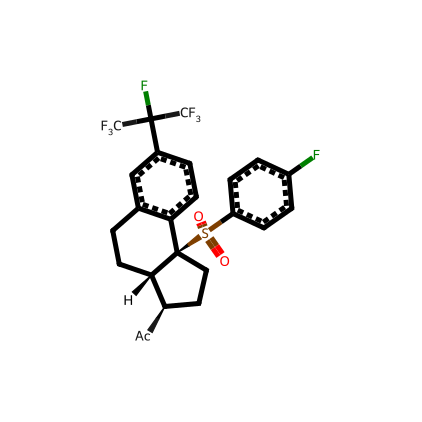 CC(=O)[C@@H]1CC[C@@]2(S(=O)(=O)c3ccc(F)cc3)c3ccc(C(F)(C(F)(F)F)C(F)(F)F)cc3CC[C@@H]12